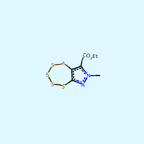 CCOC(=O)c1c2c(nn1C)SSSSS2